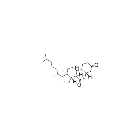 CC(C)CCC[C@@H](C)[C@H]1CC[C@H]2[C@@H]3C(=O)C[C@H]4CC(=O)CC[C@]4(C)[C@H]3CC[C@]12C